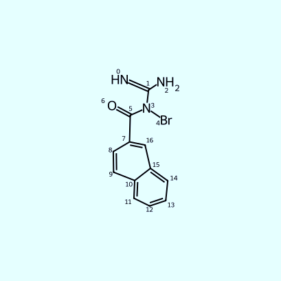 N=C(N)N(Br)C(=O)c1ccc2ccccc2c1